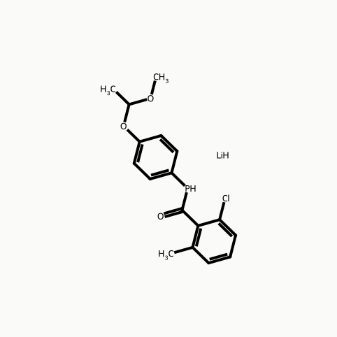 COC(C)Oc1ccc(PC(=O)c2c(C)cccc2Cl)cc1.[LiH]